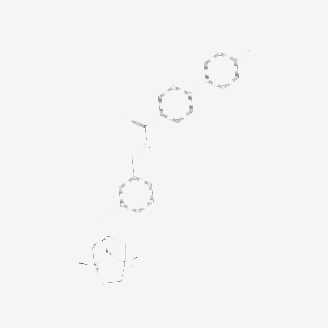 CN1[C@@H]2CC[C@H]1C[C@@H](Oc1cccc(CNC(=O)c3ccc(-c4ccc(F)cc4)cc3)c1)C2